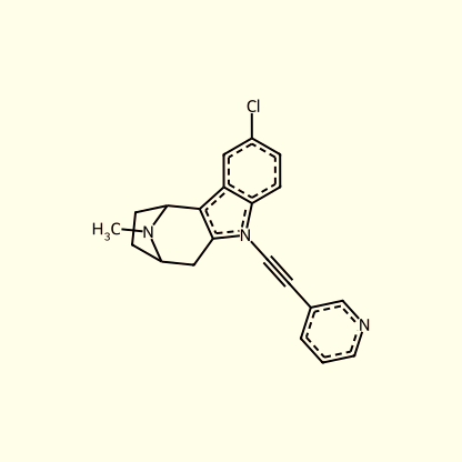 CN1C2CCC1c1c(n(C#Cc3cccnc3)c3ccc(Cl)cc13)C2